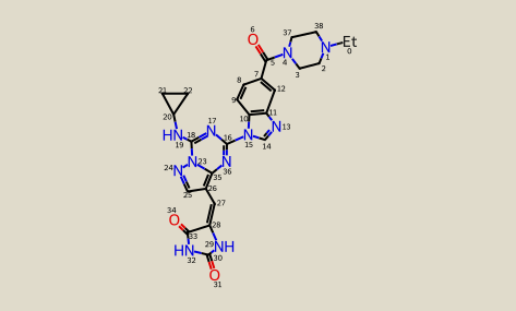 CCN1CCN(C(=O)c2ccc3c(c2)ncn3-c2nc(NC3CC3)n3ncc(C=C4NC(=O)NC4=O)c3n2)CC1